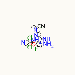 N#C[C@H]1CCCN1c1ncc(C(=N)c2cc(O[C@H](N)c3c(Cl)cncc3Cl)c(F)cc2N)cc1F